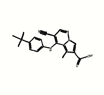 Cc1c(C(=O)O)cn2ncc(C#N)c(Nc3ccc(C(C)(C)C)cc3)c12